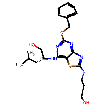 CC(C)C[C@H](CO)Nc1nc(SCc2ccccc2)nc2nc(NCCCO)sc12